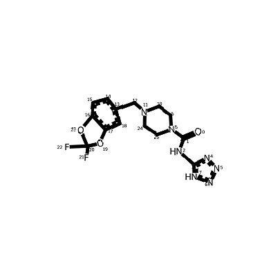 O=C(Nc1nnn[nH]1)N1CCN(Cc2ccc3c(c2)OC(F)(F)O3)CC1